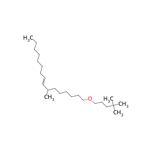 CCCCCCC/C=C/C(C)CCCCCCOCCCC(C)(C)C